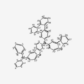 c1ccc(N(c2ccccc2)c2ccc3sc4cc(N(c5ccc6sc7ccccc7c6c5)c5ccc6c7ccccc7c7ccccc7c6c5)ccc4c3c2)cc1